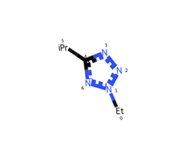 CCn1nnc(C(C)C)n1